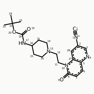 [C-]#[N+]c1cnc2ccc(=O)n(CCN3CCC(NC(=O)OC(C)(C)C)CC3)c2c1